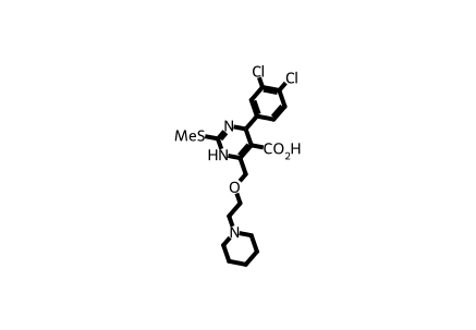 CSC1=NC(c2ccc(Cl)c(Cl)c2)C(C(=O)O)=C(COCCN2CCCCC2)N1